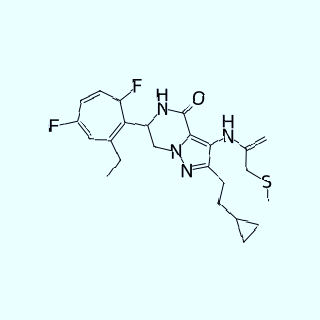 C=C(CSC)Nc1c(CCC2CC2)nn2c1C(=O)NC(C1=C(CC)C=C(F)C=CC1F)C2